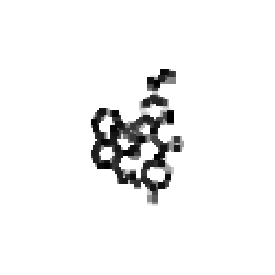 CCOc1cnc2c(C(=O)N3CCNCC3)c(Oc3c(C)cccc3C)n(C3=CC=CCC3)c2c1